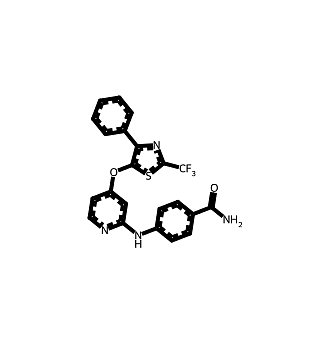 NC(=O)c1ccc(Nc2cc(Oc3sc(C(F)(F)F)nc3-c3ccccc3)ccn2)cc1